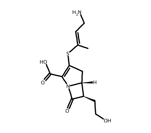 C/C(=C\CN)SC1=C(C(=O)O)N2C(=O)[C@H](CCO)[C@H]2C1